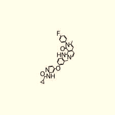 Cc1cc(Oc2ccnc(NC(=O)C3CC3)c2)ccc1Nc1nccc2cc(C)n(-c3ccc(F)cc3)c(=O)c12